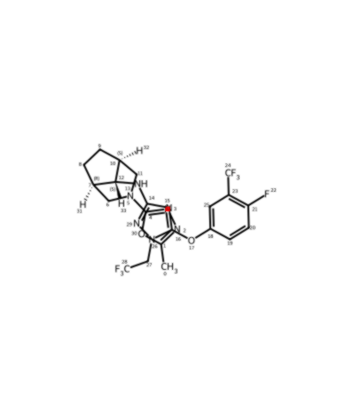 Cc1nnc(N2C[C@H]3CC[C@@H](C2)[C@@H]3Nc2nc(Oc3ccc(F)c(C(F)(F)F)c3)n(CC(F)(F)F)n2)o1